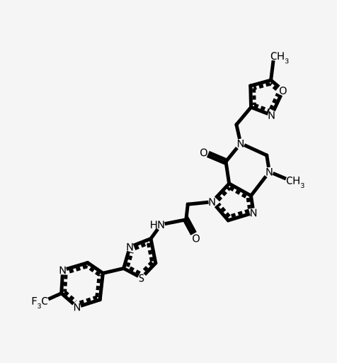 Cc1cc(CN2CN(C)c3ncn(CC(=O)Nc4csc(-c5cnc(C(F)(F)F)nc5)n4)c3C2=O)no1